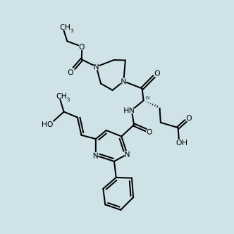 CCOC(=O)N1CCN(C(=O)[C@H](CCC(=O)O)NC(=O)c2cc(C=CC(C)O)nc(-c3ccccc3)n2)CC1